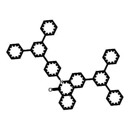 O=c1c2ccccc2c2cc(-c3cc(-c4ccccc4)cc(-c4ccccc4)c3)ccc2n1-c1ccc(-c2cc(-c3ccccc3)cc(-c3ccccc3)c2)cc1